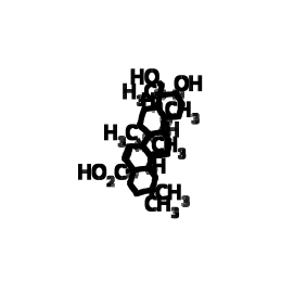 CC1(C)CC[C@]2(C(=O)O)C=C[C@]3(C)C(=CC[C@@H]4[C@@]5(C)CC[C@H](O)[C@](C)(CO)[C@@H]5CC[C@]43C)[C@@H]2C1